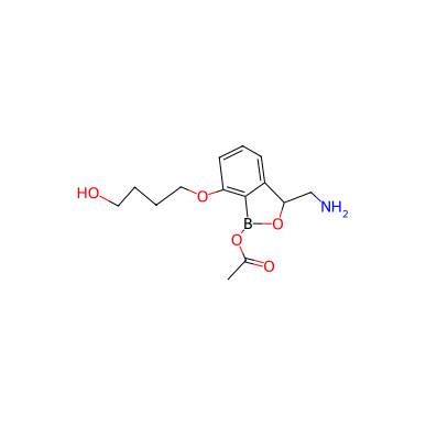 CC(=O)OB1OC(CN)c2cccc(OCCCCO)c21